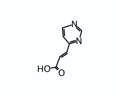 O=C(O)/C=C/c1ccncn1